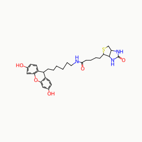 O=C(CCCCC1SCC2NC(=O)NC21)NCCCCCCC1c2ccc(O)cc2Oc2cc(O)ccc21